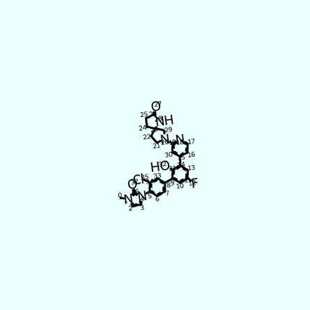 Cn1ccn(-c2ccc(-c3cc(F)cc(-c4ccnc(N5CCC6(CCC(=O)N6)C5)c4)c3O)cc2Cl)c1=O